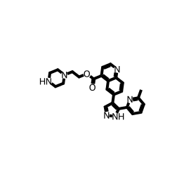 Cc1cccc(-c2[nH]ncc2-c2ccc3nccc(C(=O)OCCN4CCNCC4)c3c2)n1